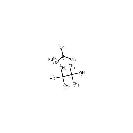 CC(C)(O)C(C)(C)O.[O-]B([O-])[O-].[Pd+3]